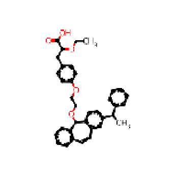 CCOC(Cc1ccc(OCCOC2c3ccccc3C=Cc3cc(C(C)c4ccccc4)ccc32)cc1)C(=O)O